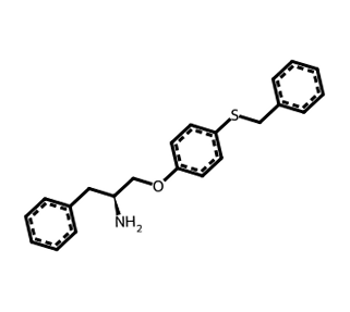 N[C@H](COc1ccc(SCc2ccccc2)cc1)Cc1ccccc1